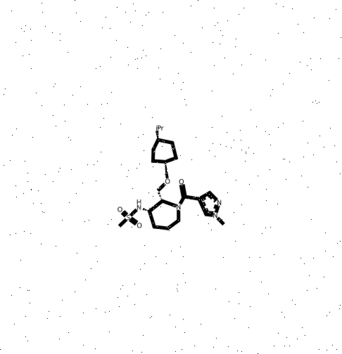 CC(C)[C@H]1CC[C@@H](OC[C@H]2[C@@H](NS(C)(=O)=O)CCCN2C(=O)c2cnn(C)c2)CC1